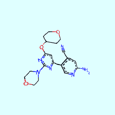 N#Cc1cc(N)ncc1-c1cc(OC2CCOCC2)nc(N2CCOCC2)n1